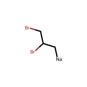 [Na][CH2]C(Br)CBr